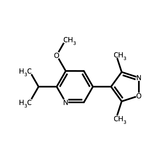 COc1cc(-c2c(C)noc2C)cnc1C(C)C